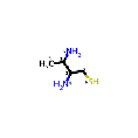 CC(N)C(N)CS